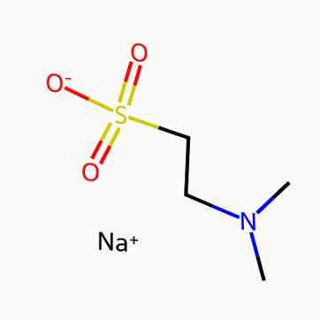 CN(C)CCS(=O)(=O)[O-].[Na+]